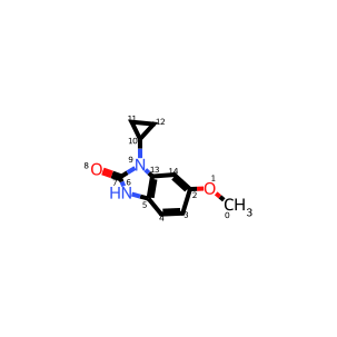 COc1ccc2[nH]c(=O)n(C3CC3)c2c1